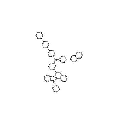 c1ccc(-c2ccc(-c3ccc(N(c4ccc(-c5ccc6ccccc6c5)cc4)c4cccc(-c5cc6ccccc6c6c5c5ccccc5n6-c5ccccc5)c4)cc3)cc2)cc1